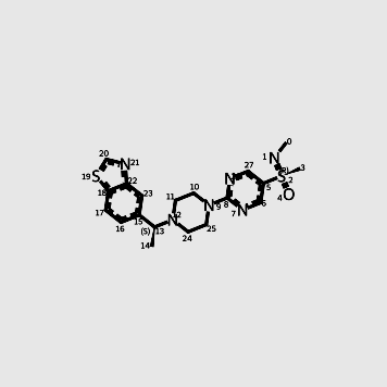 CN=[S@](C)(=O)c1cnc(N2CCN([C@@H](C)c3ccc4scnc4c3)CC2)nc1